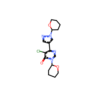 O=c1c(Cl)c(-c2cnn(C3CCCCO3)c2)ncn1C1CCCCO1